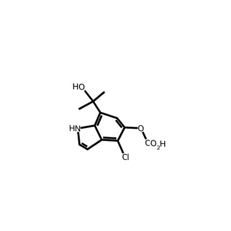 CC(C)(O)c1cc(OC(=O)O)c(Cl)c2cc[nH]c12